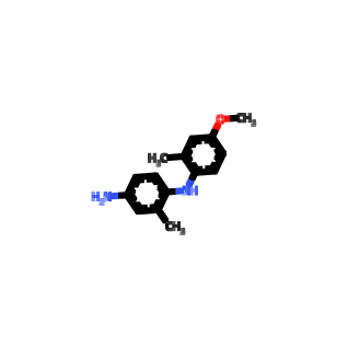 COc1ccc(Nc2ccc(N)cc2C)c(C)c1